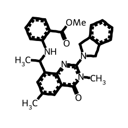 COC(=O)c1ccccc1NC(C)c1cc(C)cc2c(=O)n(C)c(N3Cc4ccccc4C3)nc12